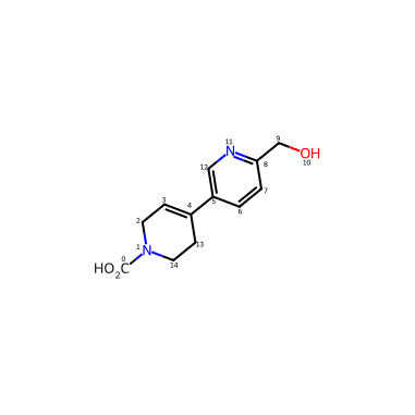 O=C(O)N1CC=C(c2ccc(CO)nc2)CC1